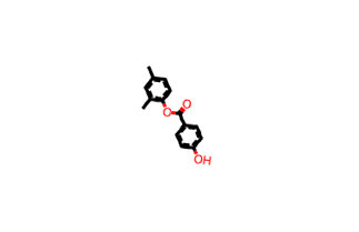 Cc1ccc(OC(=O)c2ccc(O)cc2)c(C)c1